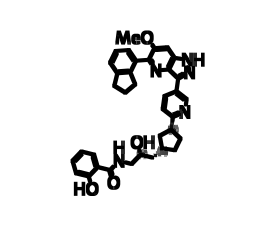 COc1cc2[nH]nc(-c3ccc([C@H]4CC[C@H](C[C@H](O)CNC(=O)c5ccccc5O)C4)nc3)c2nc1-c1cccc2c1CCC2